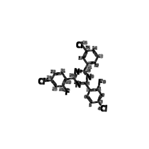 Fc1cc(Cl)ccc1-c1nc(-c2cccc(Cl)c2)nc(-c2ccc(Cl)cc2F)n1